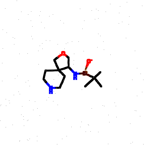 CC(C)(C)[S@@+]([O-])NC1COCC12CCNCC2